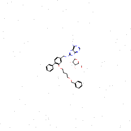 Nc1ncnc2c1nc(NCc1ccc(-c3ccccc3)c(OCCCCOCc3ccccc3)c1)n2[C@@H]1O[C@H](CO)[C@@H](O)[C@H]1O